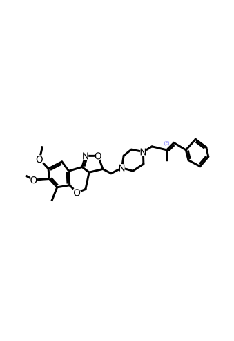 COc1cc2c(c(C)c1OC)OCC1C2=NOC1CN1CCN(C/C(C)=C/c2ccccc2)CC1